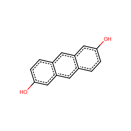 Oc1ccc2cc3cc(O)ccc3cc2c1